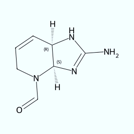 NC1=N[C@@H]2[C@@H](C=CCN2C=O)N1